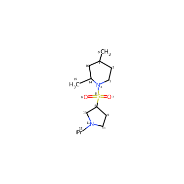 CC1CCN(S(=O)(=O)C2CCN(C(C)C)C2)C(C)C1